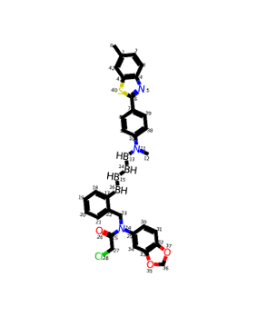 Cc1ccc2nc(-c3ccc(N(C)BBBBc4ccccc4CN(C(=O)CCl)c4ccc5c(c4)OCO5)cc3)sc2c1